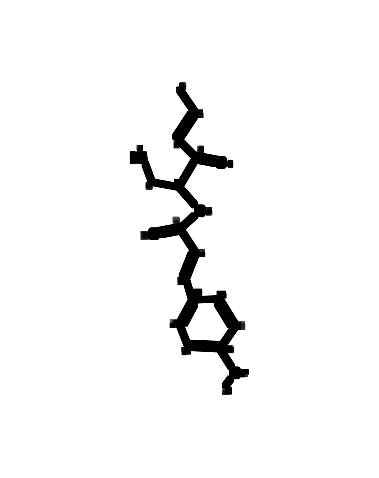 CC=CC(=O)C(CS)OC(=O)C=Cc1ccc(OC)cc1